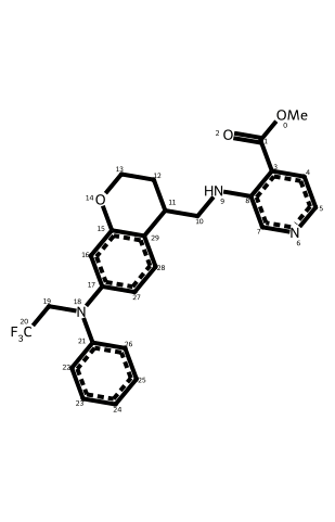 COC(=O)c1ccncc1NCC1CCOc2cc(N(CC(F)(F)F)c3ccccc3)ccc21